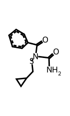 NC(=O)N(SCC1CC1)C(=O)c1ccccc1